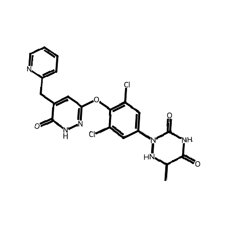 CC1NN(c2cc(Cl)c(Oc3cc(Cc4ccccn4)c(=O)[nH]n3)c(Cl)c2)C(=O)NC1=O